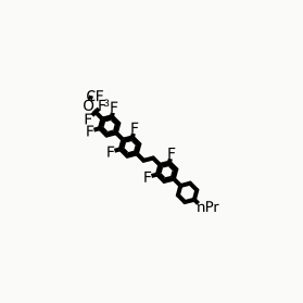 CCCC1CCC(c2cc(F)c(CCc3cc(F)c(-c4cc(F)c(C(F)(F)OC(F)(F)F)c(F)c4)c(F)c3)c(F)c2)CC1